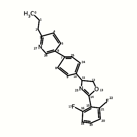 CCCc1ccc(-c2ccc(C3COC(c4c(F)cccc4F)=N3)cc2)cn1